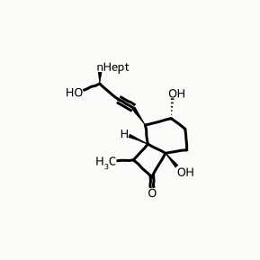 CCCCCCC[C@H](O)C#C[C@H]1[C@H](O)CC[C@]2(O)C(=O)C(C)[C@H]12